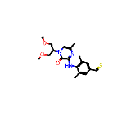 COCC(COC)n1cc(C)nc(Nc2c(C)cc(C=S)cc2C)c1=O